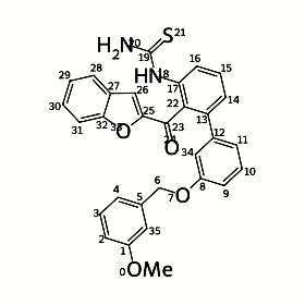 COc1cccc(COc2cccc(-c3cccc(NC(N)=S)c3C(=O)c3cc4ccccc4o3)c2)c1